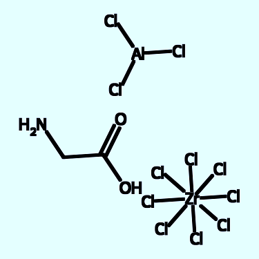 NCC(=O)O.[Cl][Al]([Cl])[Cl].[Cl][Zr]([Cl])([Cl])([Cl])([Cl])([Cl])([Cl])[Cl]